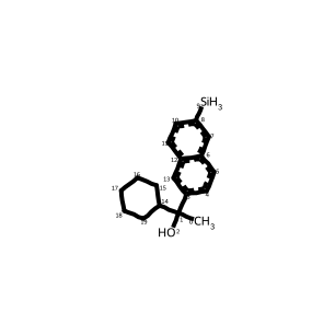 CC(O)(c1ccc2cc([SiH3])ccc2c1)C1CCCCC1